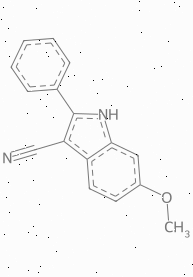 COc1ccc2c(C#N)c(-c3ccccc3)[nH]c2c1